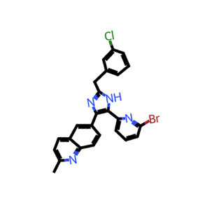 Cc1ccc2cc(-c3nc(Cc4cccc(Cl)c4)[nH]c3-c3cccc(Br)n3)ccc2n1